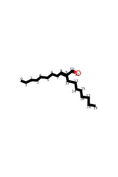 CCCCCCCC/C=C(/C=O)CCCCCCCC